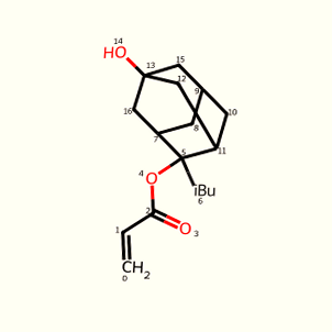 C=CC(=O)OC1(C(C)CC)C2CC3CC1CC(O)(C3)C2